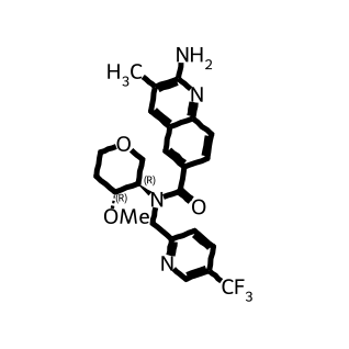 CO[C@@H]1CCOC[C@H]1N(Cc1ccc(C(F)(F)F)cn1)C(=O)c1ccc2nc(N)c(C)cc2c1